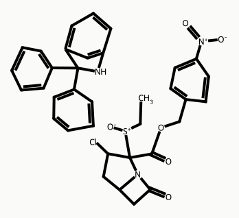 CC[S+]([O-])C1(C(=O)OCc2ccc([N+](=O)[O-])cc2)C(Cl)CC2CC(=O)N21.c1ccc(C2(c3ccccc3)Nc3cccc2c3)cc1